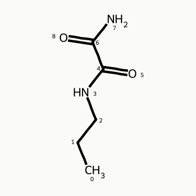 CCCNC(=O)C(N)=O